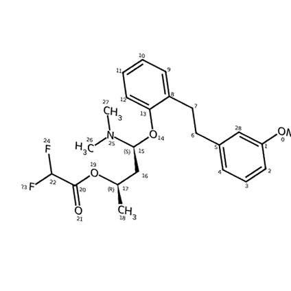 COc1cccc(CCc2ccccc2O[C@@H](C[C@@H](C)OC(=O)C(F)F)N(C)C)c1